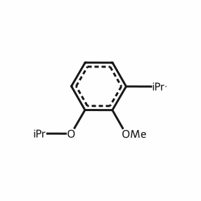 COc1c(OC(C)C)cccc1[C](C)C